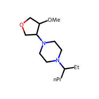 CCCC(CC)N1CCN(C2COCC2OC)CC1